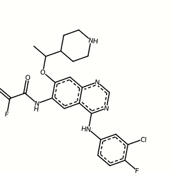 C=C(F)C(=O)Nc1cc2c(Nc3ccc(F)c(Cl)c3)ncnc2cc1OC(C)C1CCNCC1